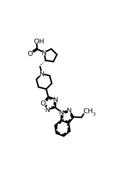 CCc1nn(-c2noc(C3CCN(C[C@H]4CCCN4C(=O)O)CC3)n2)c2ccccc12